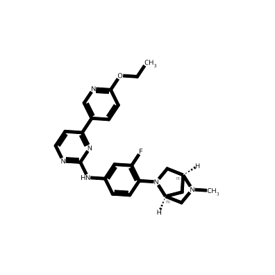 CCOc1ccc(-c2ccnc(Nc3ccc(N4C[C@@H]5C[C@H]4CN5C)c(F)c3)n2)cn1